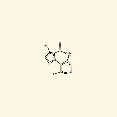 COC(=O)c1c(C(C)C)cnn1-c1c(F)cccc1C(F)(F)F